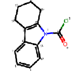 O=C(Cl)n1c2c(c3ccccc31)CCCC2